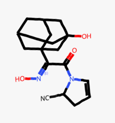 N#CC1CC=CN1C(=O)/C(=N/O)C12CC3CC(CC(O)(C3)C1)C2